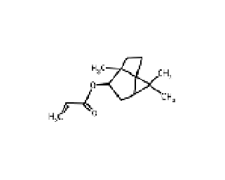 C=CC(=O)OC1CC2C(C)(C)C23CCC13C